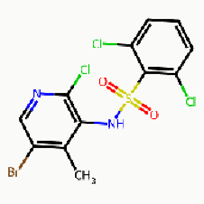 Cc1c(Br)cnc(Cl)c1NS(=O)(=O)c1c(Cl)cccc1Cl